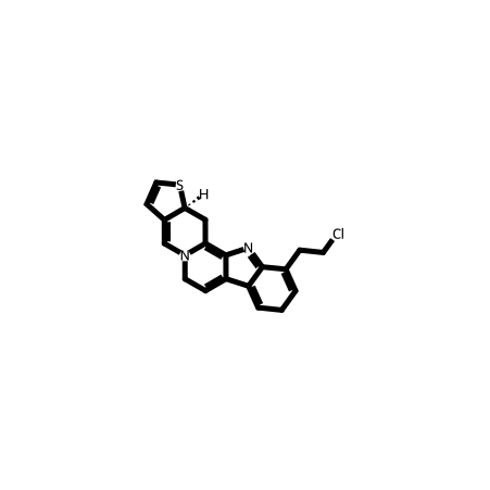 ClCCC1=CCC=C2C3=CCN4C=C5C=CS[C@H]5CC4=C3N=C12